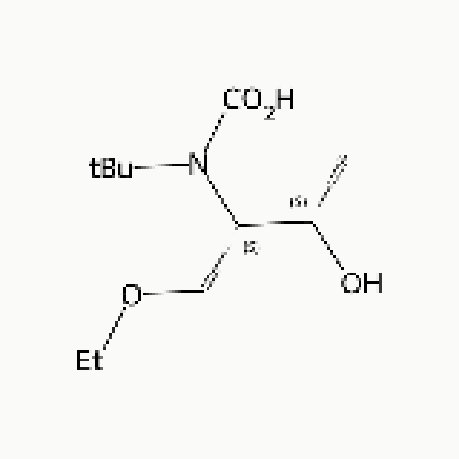 CCOC[C@@H]([C@H](C)O)N(C(=O)O)C(C)(C)C